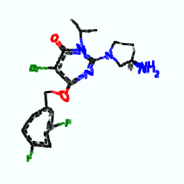 CC(C)n1c(N2CC[C@@H](N)C2)nc(OCc2ccc(F)cc2F)c(Br)c1=O